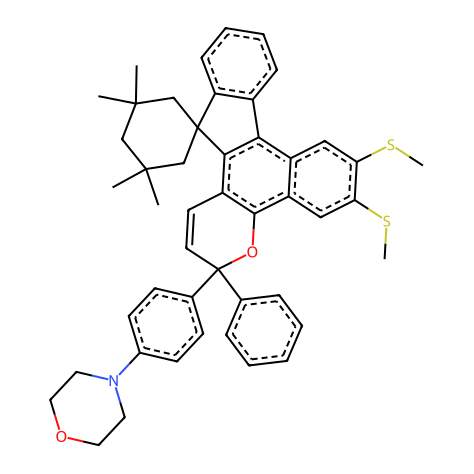 CSc1cc2c3c(c4c(c2cc1SC)-c1ccccc1C41CC(C)(C)CC(C)(C)C1)C=CC(c1ccccc1)(c1ccc(N2CCOCC2)cc1)O3